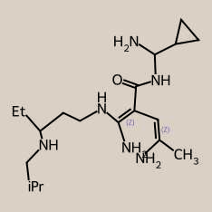 CCC(CCN/C(N)=C(/C=C(/C)N)C(=O)NC(N)C1CC1)NCC(C)C